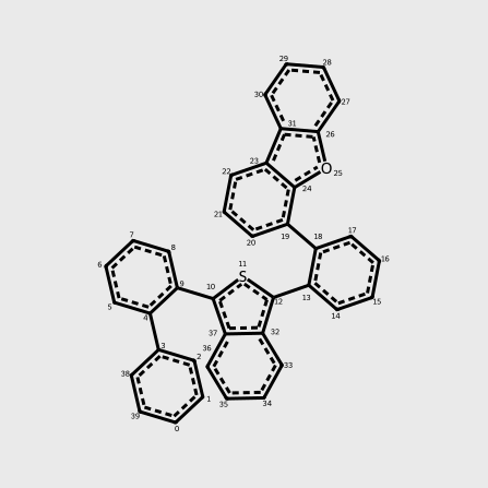 c1ccc(-c2ccccc2-c2sc(-c3ccccc3-c3cccc4c3oc3ccccc34)c3ccccc23)cc1